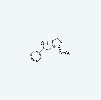 CC(=O)N=C1SCCN1CC(O)c1ccccc1